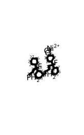 FC(C=CCP)(C1CCCCC1)C1CCCCC1.FC(C=CCP)(C1CCCCC1)C1CCCCC1.[Cl-].[Cl-].[Ni+2]